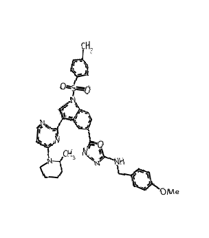 COc1ccc(CNc2nnc(-c3ccc4c(c3)c(-c3nccc(N5CCCCC5C)n3)cn4S(=O)(=O)c3ccc(C)cc3)o2)cc1